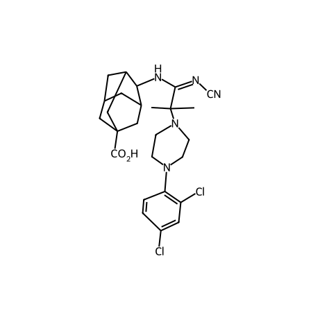 CC(C)(/C(=N\C#N)NC1C2CC3CC1CC(C(=O)O)(C3)C2)N1CCN(c2ccc(Cl)cc2Cl)CC1